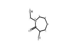 CCC1CCCCN(CO)C1=S